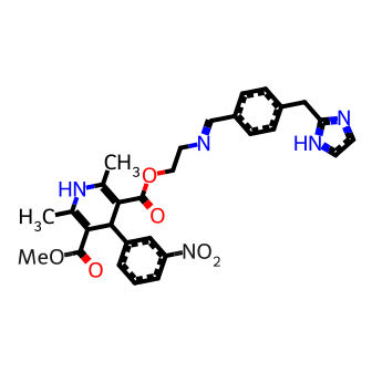 COC(=O)C1=C(C)NC(C)=C(C(=O)OCCN=Cc2ccc(Cc3ncc[nH]3)cc2)C1c1cccc([N+](=O)[O-])c1